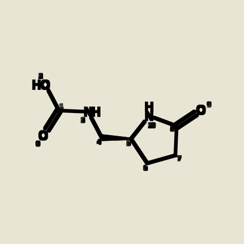 O=C(O)NC[C@@H]1CCC(=O)N1